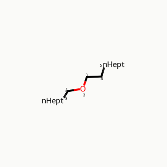 CCCCCCC[CH]OCCCCCCCCC